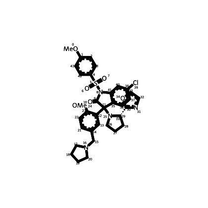 COc1ccc(S(=O)(=O)N2C(=O)C(c3cc(CN4CCCC4)ccc3OC)(N3CCC[C@H]3c3ncco3)c3ccc(Cl)cc32)cc1